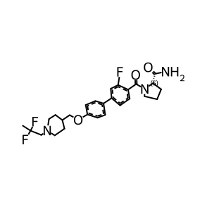 CC(F)(F)CN1CCC(COc2ccc(-c3ccc(C(=O)N4CCC[C@H]4C(N)=O)c(F)c3)cc2)CC1